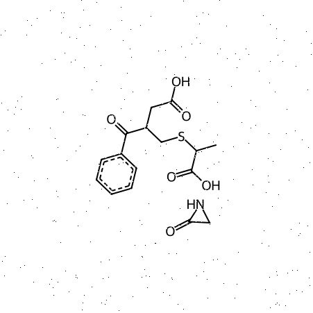 CC(SCC(CC(=O)O)C(=O)c1ccccc1)C(=O)O.O=C1CN1